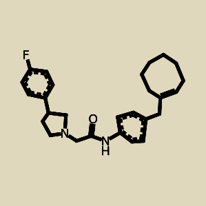 O=C(CN1CCC(c2ccc(F)cc2)C1)Nc1ccc(C/C2=C/CCCCCC2)cc1